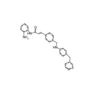 Nc1ccccc1NC(=O)C=Cc1ccc(CNc2ccc(Cc3ccncc3)cc2)cc1